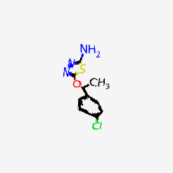 CC(Oc1nnc(N)s1)c1ccc(Cl)cc1